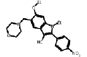 CCOc1cc2c(cc1CN1CCOCC1)c(C#N)c(-c1ccc([N+](=O)[O-])cc1)n2CC